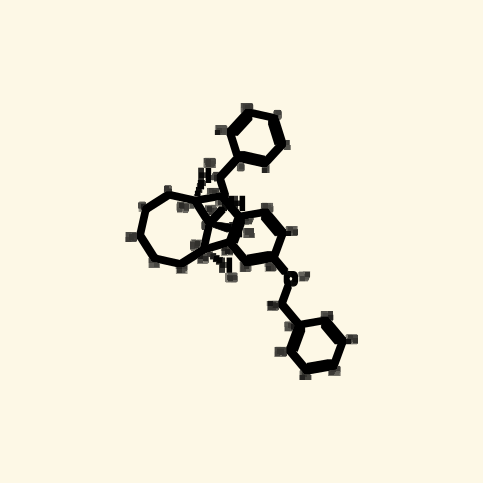 c1ccc(CN[C@H]2[C@H]3CCCCC[C@@H]2c2cc(OCc4ccccc4)ccc2C3)cc1